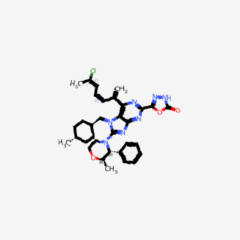 C=C(/C=C\C=C(/C)Cl)c1nc(-c2n[nH]c(=O)o2)nc2nc(N3CCO[C@H](C)[C@H]3c3ccccc3)n(C[C@H]3CC[C@H](C)CC3)c12